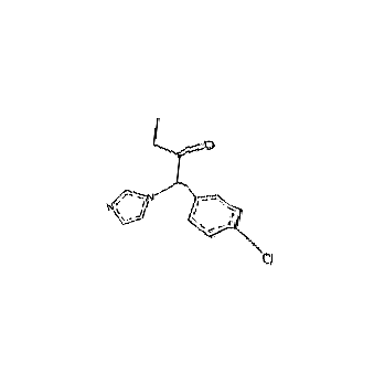 CCC(=O)C(c1ccc(Cl)cc1)n1ccnc1